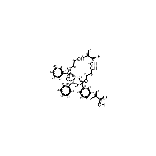 C=C(C)C(=O)O.C=C(C)C(=O)O.C[Si](OCCO)(O[Si](C)(O[Si](C)(OCCO)c1ccccc1)c1ccccc1)c1ccccc1